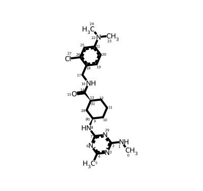 CNc1nc(C)nc(N[C@@H]2CCC[C@H](C(=O)NCc3ccc(N(C)C)cc3Cl)C2)n1